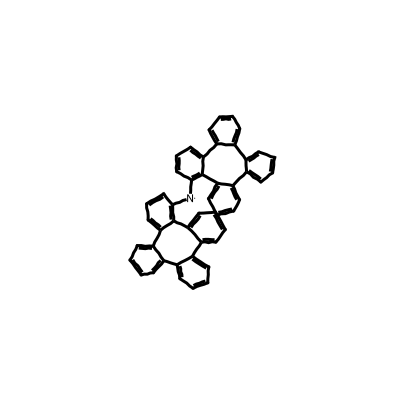 c1ccc2c(c1)-c1ccccc1-c1cccc([N]c3cccc4c3-c3ccccc3-c3ccccc3-c3ccccc3-4)c1-c1ccccc1-2